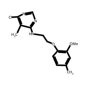 COc1cc(C)ccc1OCCNc1ncnc(Cl)c1C